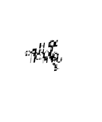 CC[C@H](C)[C@@H](CN(CC(=O)N[C@@H](CCSC)C(=O)OC)Cc1cccc(C)c1C)NC(=O)[C@@H]1CCC(=O)N1